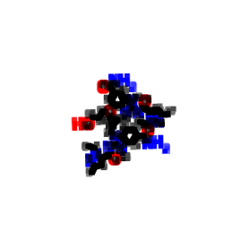 CCn1nc(C)cc1C(=O)/N=c1\n(C)c2cc(C(N)=O)ccc2n1C[C@H]1C[C@@H]1Cn1/c(=N/C(=O)c2cc(C)nn2CC)n(C)c2cc(C(N)=O)cc(OCCCO)c21